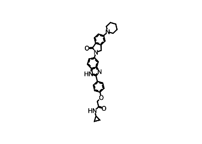 O=C(COc1ccc(-c2nc3cc(N4Cc5cc(N6CCCCC6)ccc5C4=O)ccc3[nH]2)cc1)NC1CC1